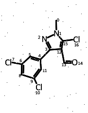 Cn1nc(-c2cc(Cl)cc(Cl)c2)c(C=O)c1Cl